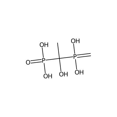 C=P(O)(O)C(C)(O)P(=O)(O)O